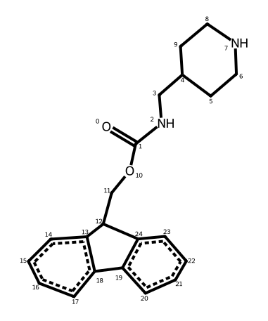 O=C(NCC1CCNCC1)OCC1c2ccccc2-c2ccccc21